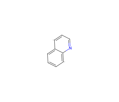 [c]1ccnc2[c]cccc12